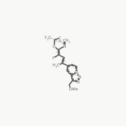 C=N/C(O[C@@H](C)C(F)(F)F)=C(F)\C=C(/C)c1ccn2nnc(COC)c2c1